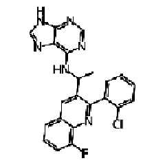 C[C@H](Nc1ncnc2[nH]cnc12)c1cc2cccc(F)c2nc1-c1ccccc1Cl